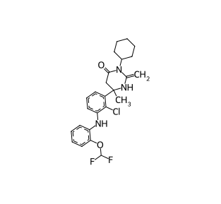 C=C1NC(C)(c2cccc(Nc3ccccc3OC(F)F)c2Cl)CC(=O)N1C1CCCCC1